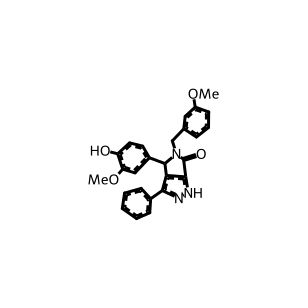 COc1cccc(CN2C(=O)c3[nH]nc(-c4ccccc4)c3C2c2ccc(O)c(OC)c2)c1